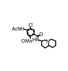 COc1cc(NC(C)=O)c(Cl)cc1C(=O)NC1CCC2CCCCN2C1